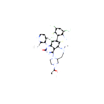 C=CC(=O)N1CCN2c3nc(=O)n(-c4c(C)ccnc4C(C)C)c4c(Cl)c(-c5c(N)c(Cl)cc(Cl)c5F)c(F)c(c34)N(C)CCC2C1